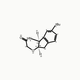 CC(C)(C)c1ccc2c(c1)[C@@H]1NC(=O)CO[C@@H]1C2